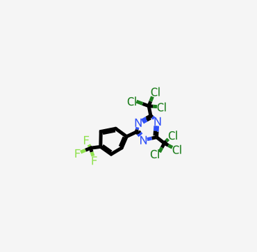 FC(F)(F)c1ccc(-c2nc(C(Cl)(Cl)Cl)nc(C(Cl)(Cl)Cl)n2)cc1